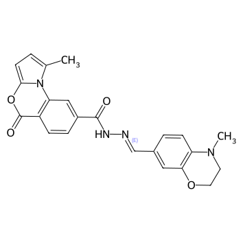 Cc1ccc2oc(=O)c3ccc(C(=O)N/N=C/c4ccc5c(c4)OCCN5C)cc3n12